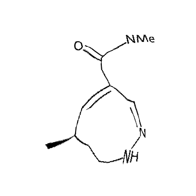 CNC(=O)C1=C[C@H](C)CNN=C1